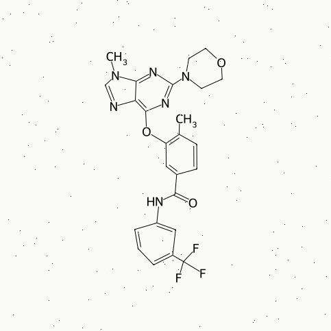 Cc1ccc(C(=O)Nc2cccc(C(F)(F)F)c2)cc1Oc1nc(N2CCOCC2)nc2c1ncn2C